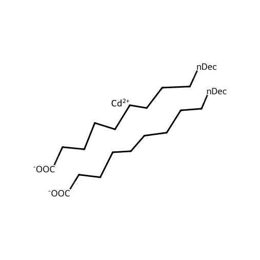 CCCCCCCCCCCCCCCCCCC(=O)[O-].CCCCCCCCCCCCCCCCCCC(=O)[O-].[Cd+2]